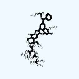 CC[C@@]1(OC(=O)[C@@H](NC(=O)OC(C)(C)C)C(C)C)C(=O)OCc2c1cc1n(c2=O)Cc2c-1nc1cc(F)c(C)c3c1c2CC(C(OC(N)=O)c1ccccc1)C3